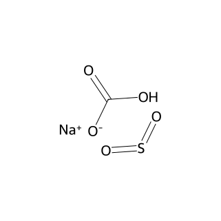 O=C([O-])O.O=S=O.[Na+]